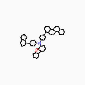 c1ccc2c(-c3ccc(N(c4ccc(-c5cccc6c5ccc5c7ccccc7ccc65)cc4)c4cccc5c4oc4ccccc45)cc3)cccc2c1